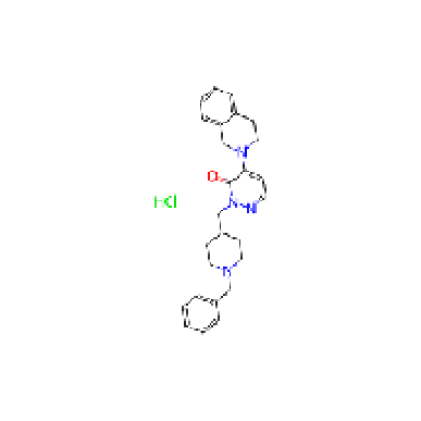 Cl.O=c1c(N2CCc3ccccc3C2)ccnn1CC1CCN(Cc2ccccc2)CC1